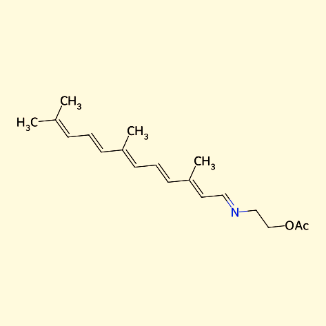 CC(=O)OCC/N=C/C=C(C)/C=C/C=C(C)/C=C/C=C(C)C